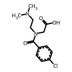 CN(C)CCN(CC(=O)O)C(=O)c1ccc(Cl)cc1